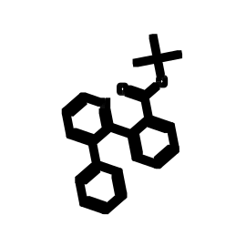 CC(C)(C)OC(=O)c1ccccc1-c1ncccc1-c1ccccc1